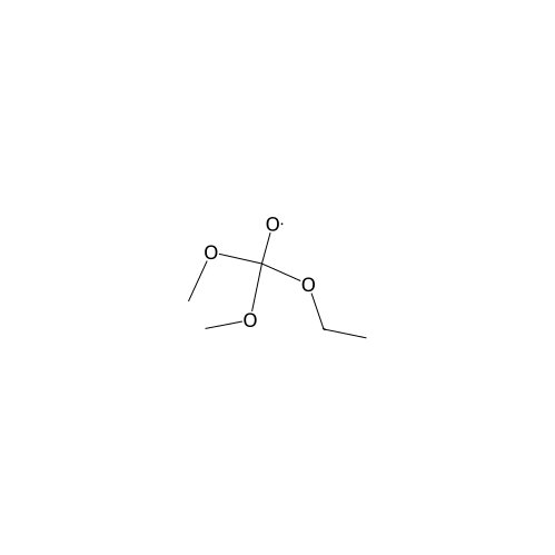 CCOC([O])(OC)OC